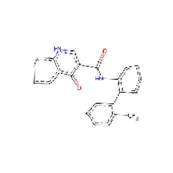 O=C(Nc1ccccc1-c1ccccc1C(F)(F)F)c1c[nH]c2ccccc2c1=O